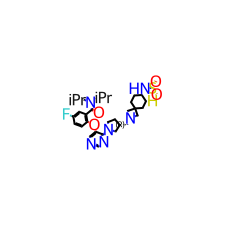 CC(C)N(C(=O)c1cc(F)ccc1Oc1cncnc1N1CC[C@H](CN2CC3(CCC(N[SH](=O)=O)CC3)C2)C1)C(C)C